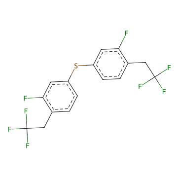 Fc1cc(Sc2ccc(CC(F)(F)F)c(F)c2)ccc1CC(F)(F)F